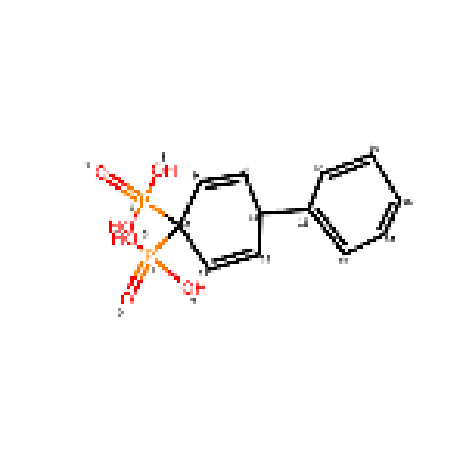 O=P(O)(O)C1(P(=O)(O)O)C=CC(c2ccccc2)C=C1